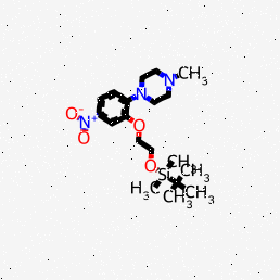 CN1CCN(c2ccc([N+](=O)[O-])cc2OCCO[Si](C)(C)C(C)(C)C)CC1